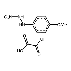 COc1ccc(NN[N+](=O)[O-])cc1.O=C(O)C(=O)O